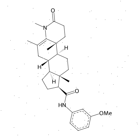 COc1cccc(NC(=O)[C@H]2CC[C@H]3[C@@H]4CC(C)=C5N(C)C(=O)CC[C@]5(C)[C@H]4CC[C@]23C)c1